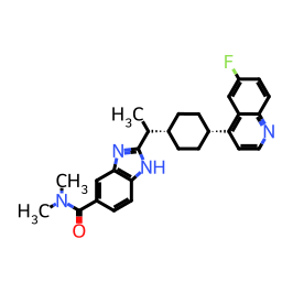 CC(c1nc2cc(C(=O)N(C)C)ccc2[nH]1)[C@H]1CC[C@@H](c2ccnc3ccc(F)cc32)CC1